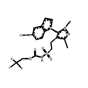 Cc1nn(C)c(-n2ccc3cc(Cl)ccc32)c1CCS(=O)(=O)NC(=O)OCC(F)(F)F